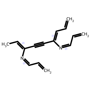 C=C/C=N\C(C#CC(=C/C=C)/N=C\C=C)=C/C